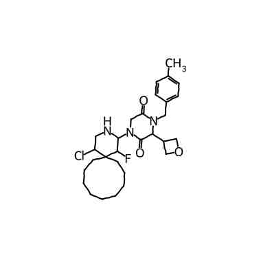 Cc1ccc(CN2C(=O)CN(C3NCC(Cl)C4(CCCCCCCCC4)C3F)C(=O)C2C2COC2)cc1